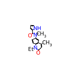 CCn1c(=O)cc(C)c2cc(N(C)C(=O)c3ccc[nH]3)ccc21